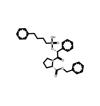 O=C(OCc1ccccc1)[C@@H]1CCCN1C(=O)[C@H](OP(=O)(O)CCCCc1ccccc1)c1ccccc1